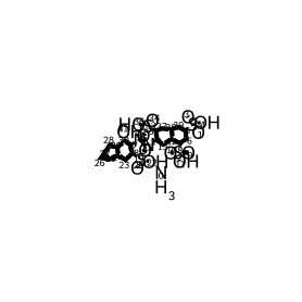 N.O=S(=O)(O)c1cc(S(=O)(=O)O)c2cc(N=Nc3c(S(=O)(=O)O)cc4c5cc-5cc4c3O)c(S(=O)(=O)O)cc2c1